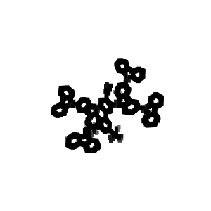 Cc1cc(-c2cc(-n3c4ccc(-n5c6ccccc6c6ccccc65)cc4c4cc(-n5c6ccccc6c6ccccc65)ccc43)c(C#N)cc2-n2c3ccc(-n4c5ccccc5c5ccccc54)cc3c3cc(-n4c5ccccc5c5ccccc54)ccc32)cc(C(F)(F)F)c1